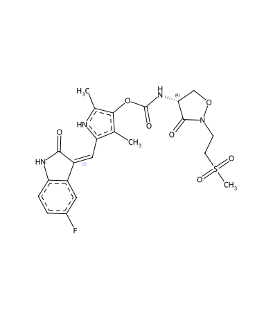 Cc1[nH]c(/C=C2\C(=O)Nc3ccc(F)cc32)c(C)c1OC(=O)N[C@@H]1CON(CCS(C)(=O)=O)C1=O